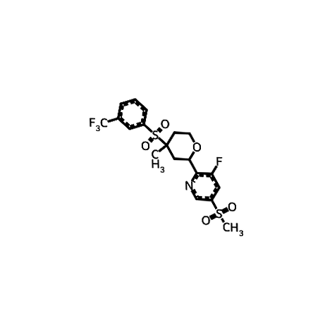 CC1(S(=O)(=O)c2cccc(C(F)(F)F)c2)CCOC(c2ncc(S(C)(=O)=O)cc2F)C1